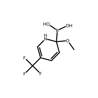 COC1(B(O)O)C=CC(C(F)(F)F)=CN1